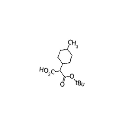 CC1CCC(C(C(=O)O)C(=O)OC(C)(C)C)CC1